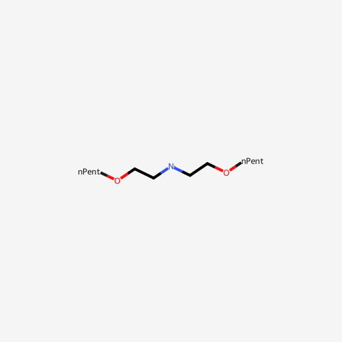 CCCCCOCC[N]CCOCCCCC